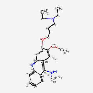 CCN(CC)CCCOc1cc2nc3ccccc3c(NC)c2cc1OC